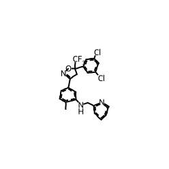 Cc1ccc(C2=NOC(c3cc(Cl)cc(Cl)c3)(C(F)(F)F)C2)cc1NCc1ccccn1